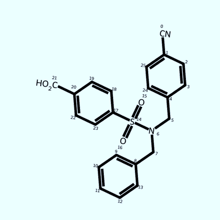 N#Cc1ccc(CN(Cc2ccccc2)S(=O)(=O)c2ccc(C(=O)O)cc2)cc1